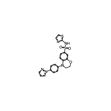 O=S(=O)(Nc1nccs1)c1ccc2c(c1)OCCN2c1ccc(-n2cccn2)cc1